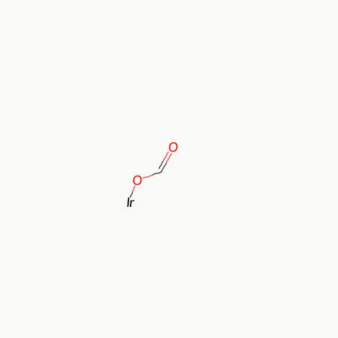 O=C[O][Ir]